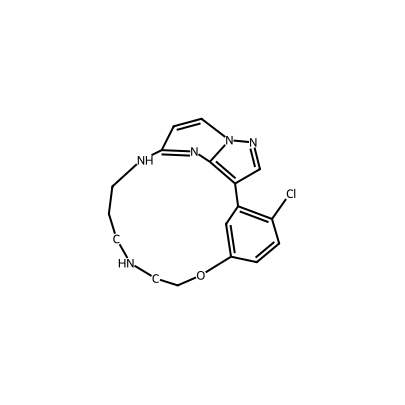 Clc1ccc2cc1-c1cnn3ccc(nc13)NCCCNCCO2